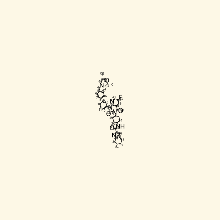 C[C@@H]1CN(Cc2ccc(-c3cccc(-n4c(=O)n([C@H]5CC[C@@H](NC(=O)c6cn7c(n6)CCCC7)CC5)c(=O)c5cc(F)cnc54)c3)cc2)C[C@H](C)O1